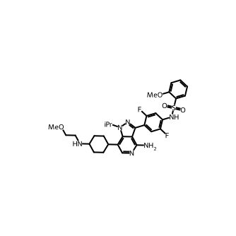 COCCNC1CCC(c2cnc(N)c3c(-c4cc(F)c(NS(=O)(=O)c5ccccc5OC)cc4F)nn(C(C)C)c23)CC1